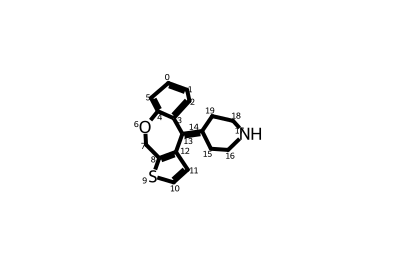 c1ccc2c(c1)OCc1sccc1C2=C1CCNCC1